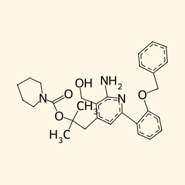 CC(C)(Cc1cc(-c2ccccc2OCc2ccccc2)nc(N)c1CO)OC(=O)N1CCCCC1